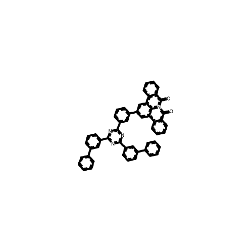 O=c1c2ccccc2c2cc(-c3cccc(-c4nc(-c5cccc(-c6ccccc6)c5)nc(-c5cccc(-c6ccccc6)c5)n4)c3)cc3c4ccccc4c(=O)n1c23